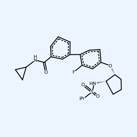 CC(C)S(=O)(=O)N[C@H]1CCC[C@H]1Oc1ccc(-c2cccc(C(=O)NC3CC3)c2)c(F)c1